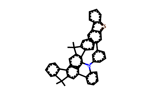 CC1(C)c2ccccc2-c2ccc(-c3ccccc3N(c3cccc(-c4ccc5c(c4)sc4ccccc45)c3)c3cccc4c3-c3ccccc3C4(C)C)cc21